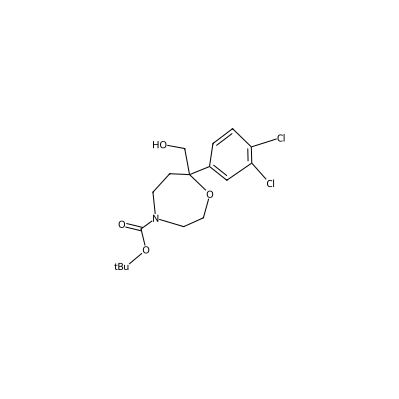 CC(C)(C)OC(=O)N1CCOC(CO)(c2ccc(Cl)c(Cl)c2)CC1